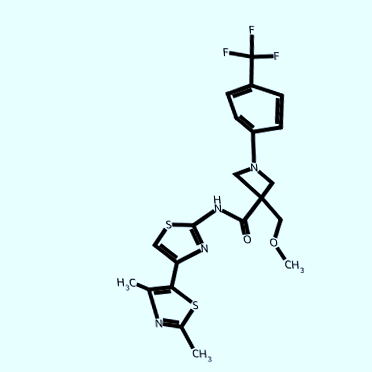 COCC1(C(=O)Nc2nc(-c3sc(C)nc3C)cs2)CN(c2ccc(C(F)(F)F)cc2)C1